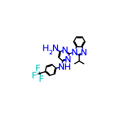 CC(C)c1nc2ccccc2n1-c1nc(N)cc(Nc2ccc(C(F)(F)F)cc2)n1